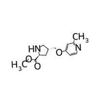 COC(=O)[C@@H]1C[C@@H](COc2ccnc(C)c2)CN1